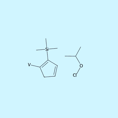 CC(C)OCl.C[Si](C)(C)C1=[C]([V])CC=C1